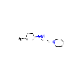 CC(C)C1CCC(NCCCN2CCCCC2)CC1